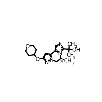 C[C@H]1Cn2nc(OC3CCOCC3)cc2-c2cnc(C(C)(O)C(F)(F)F)n21